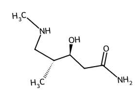 CNC[C@@H](C)[C@@H](O)CC(N)=O